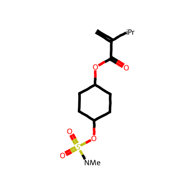 C=C(C(=O)OC1CCC(OS(=O)(=O)NC)CC1)C(C)C